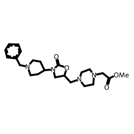 COC(=O)CN1CCN(CC2CN(C3CCN(Cc4ccccc4)CC3)C(=O)O2)CC1